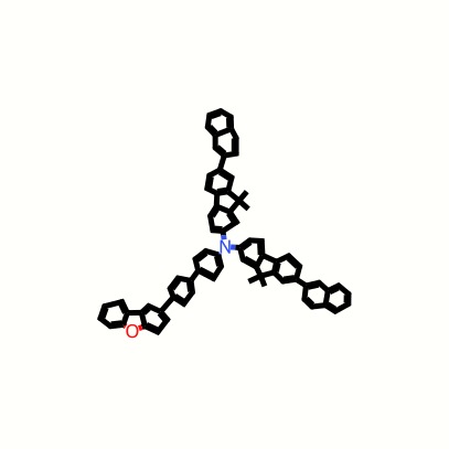 CC1(C)c2cc(-c3ccc4ccccc4c3)ccc2-c2ccc(N(c3ccc(-c4ccc(-c5ccc6oc7ccccc7c6c5)cc4)cc3)c3ccc4c(c3)C(C)(C)c3cc(-c5ccc6ccccc6c5)ccc3-4)cc21